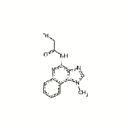 [3H]CC(=O)Nc1nc2ccccc2c2c1ncn2C